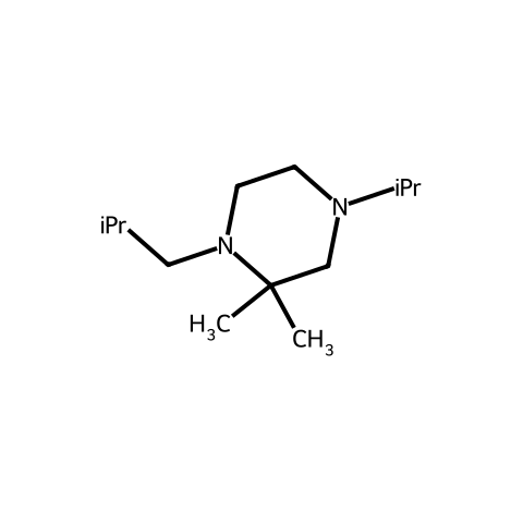 CC(C)CN1CCN(C(C)C)CC1(C)C